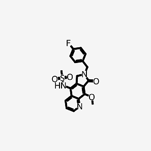 COc1c2c(c(NS(C)(=O)=O)c3cccnc13)CN(Cc1ccc(F)cc1)C2=O